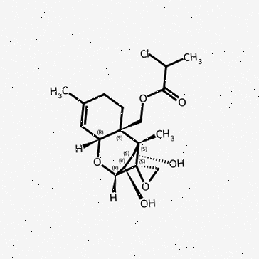 CC1=C[C@H]2O[C@@H]3[C@H](O)[C@@H](O)[C@](C)([C@@]2(COC(=O)C(C)Cl)CC1)[C@]31CO1